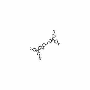 CC(C)c1ccc(N(c2ccc(C#N)cc2)c2ccc(/C=C/c3ccc4c(c3)C(C)(C)c3cc(N(c5ccc(C#N)cc5)c5ccc(C(C)C)cc5)ccc3-4)cc2)cc1